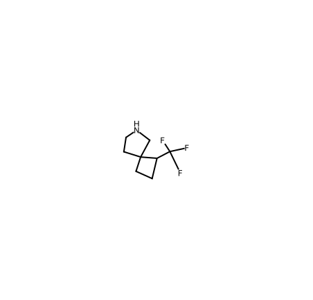 FC(F)(F)C1CCC12CCNC2